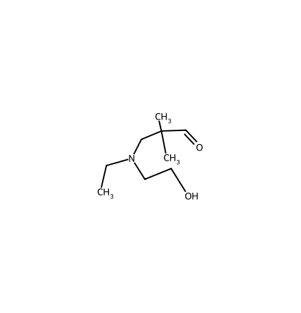 CCN(CCO)CC(C)(C)C=O